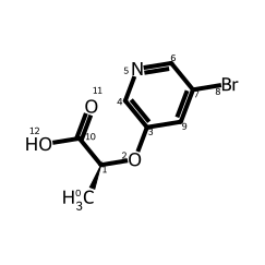 C[C@H](Oc1cncc(Br)c1)C(=O)O